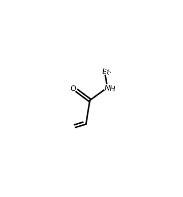 C=CC(=O)N[CH]C